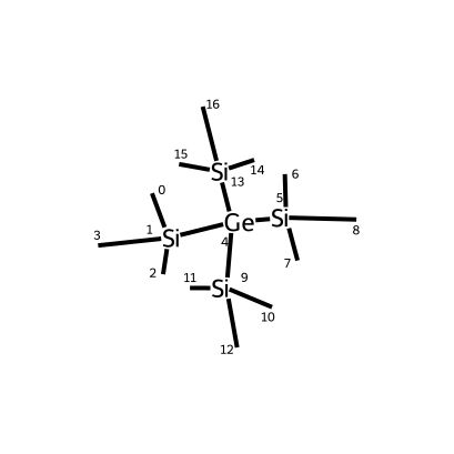 C[Si](C)(C)[Ge]([Si](C)(C)C)([Si](C)(C)C)[Si](C)(C)C